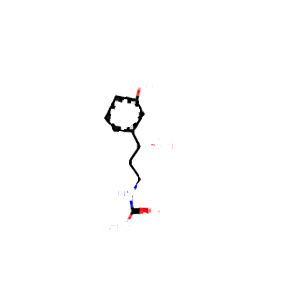 O=C(O)NCC[C@@H](O)c1cccc(O)c1